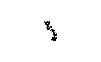 C=C(C/N=C1/CCC(C2=CC(C)=CC(F)C2)N1CC)Nc1cc(-c2cc(C)ccc2C)ccn1